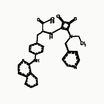 CCN(Cc1ccncc1)c1c(NC(Cc2ccc(Nc3nccc4ccccc34)cc2)C(=O)O)c(=O)c1=O